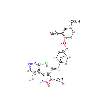 COc1cc(C(=O)O)ccc1OCC12CCC(C=Cc3c(-c4c(Cl)cncc4Cl)noc3C3CC3)(CC1)CC2